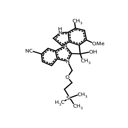 COc1cc(C)c2[nH]ccc2c1C(C)(O)c1nc2cc(C#N)ccc2n1COCC[Si](C)(C)C